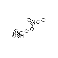 O[PH]1(c2ccc(-c3ccc(-c4cccc(-c5cc(-c6ccc(-c7ccccc7)cc6)nc(-c6ccccc6)n5)c4)cc3)cc2)c2ccccc2-c2ccccc21